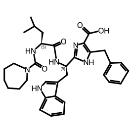 CC(C)C[C@H](NC(=O)N1CCCCCC1)C(=O)N[C@H](Cc1c[nH]c2ccccc12)c1nc(C(=O)O)c(Cc2ccccc2)[nH]1